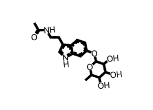 CC(=O)NCCc1c[nH]c2cc(OC3OC(C)C(O)C(O)C3O)ccc12